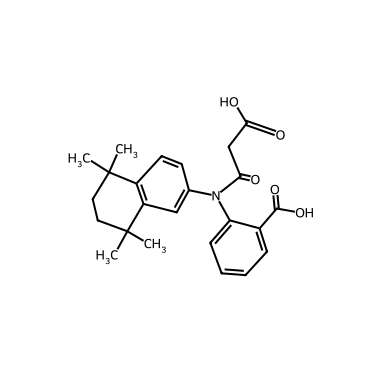 CC1(C)CCC(C)(C)c2cc(N(C(=O)CC(=O)O)c3ccccc3C(=O)O)ccc21